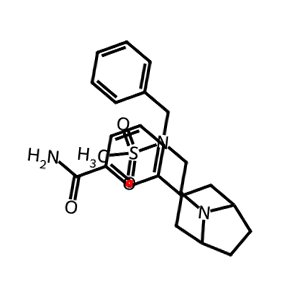 CS(=O)(=O)N(CCN1C2CCC1CC(c1cccc(C(N)=O)c1)C2)Cc1ccccc1